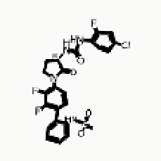 CS(=O)(=O)Nc1ccccc1-c1ccc(N2CC[C@@H](NC(=O)Nc3ccc(Cl)cc3F)C2=O)c(F)c1F